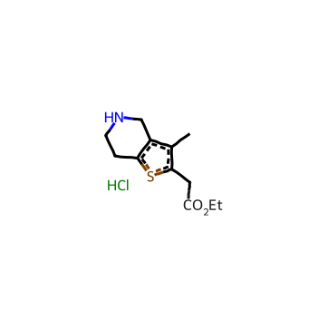 CCOC(=O)Cc1sc2c(c1C)CNCC2.Cl